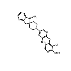 CNc1nccc(Sc2ncc(N3CCC4(CC3)Cc3ncccc3[C@H]4N)nc2N)c1Cl